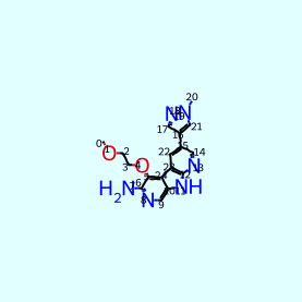 COCCOc1c(N)ncc2[nH]c3ncc(-c4cnn(C)c4)cc3c12